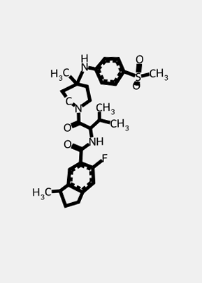 CC1CCc2cc(F)c(C(=O)NC(C(=O)N3CCC(C)(Nc4ccc(S(C)(=O)=O)cc4)CC3)C(C)C)cc21